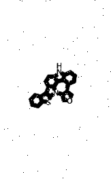 c1ccc2c(c1)sc1c2c2ccc3[nH]c4cccc5c6cocc6n1c2c3c45